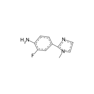 Cn1ccnc1-c1ccc(N)c(F)c1